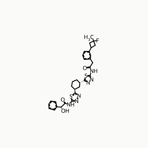 CC1(F)CC(c2cccc(CC(=O)Nc3nnc([C@H]4CCC[C@H](c5nnc(NC(=O)[C@H](O)c6ccccc6)s5)C4)s3)c2)C1